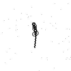 CCCCCCCCCCCC(=O)Oc1ccc(N=Nc2ccccc2)cc1